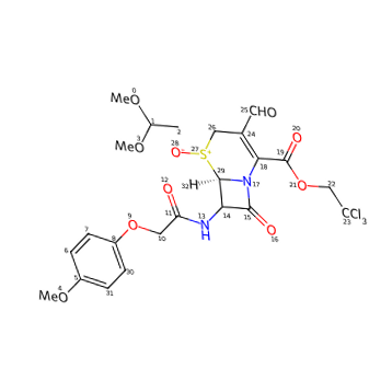 COC(C)OC.COc1ccc(OCC(=O)NC2C(=O)N3C(C(=O)OCC(Cl)(Cl)Cl)=C(C=O)C[S+]([O-])[C@H]23)cc1